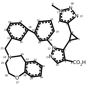 Cn1cc(C2CC2c2c(C(=O)O)cnn2-c2cccc(-c3cccc(CN4CCOc5ccccc5C4)c3)c2)nn1